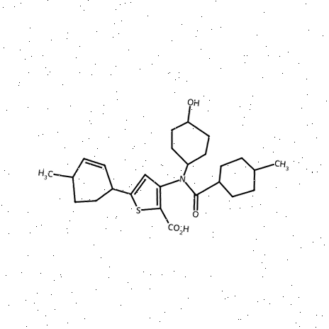 CC1C=CC(c2cc(N(C(=O)C3CCC(C)CC3)C3CCC(O)CC3)c(C(=O)O)s2)CC1